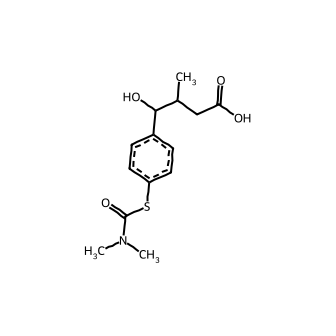 CC(CC(=O)O)C(O)c1ccc(SC(=O)N(C)C)cc1